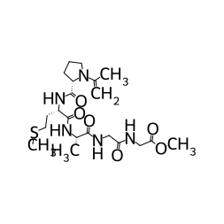 C=C(C)N1CCC[C@H]1C(=O)N[C@@H](CCSC)C(=O)N[C@@H](C)C(=O)NCC(=O)NCC(=O)OC